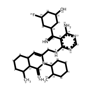 CC1CCCC2C=C(CNc3ncnc(N)c3C(=N)C3CC(O)CC(F)C3)N(C3CCCCC3C)C(=O)C12